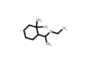 [CH2]C(OCC(F)(F)F)C1CCCCC1(C)C